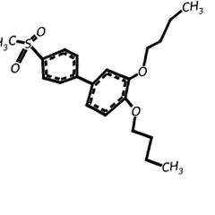 CCCCOc1ccc(-c2ccc(S(C)(=O)=O)cc2)cc1OCCCC